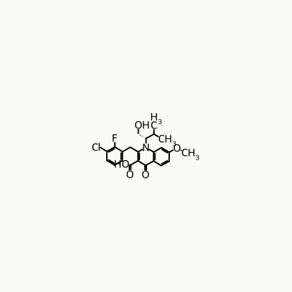 COc1ccc2c(=O)c(C(=O)O)c(Cc3cccc(Cl)c3F)n([C@H](CO)C(C)C)c2c1